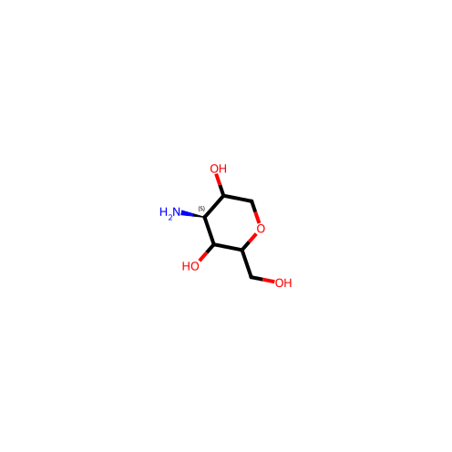 N[C@H]1C(O)COC(CO)C1O